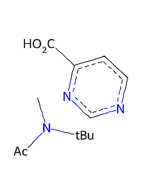 CC(=O)N(C)C(C)(C)C.O=C(O)c1ccncn1